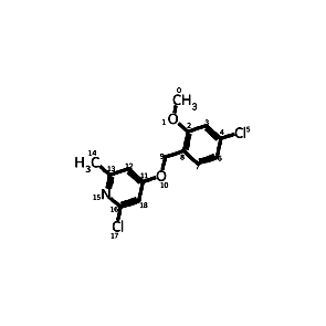 COc1cc(Cl)ccc1COc1cc(C)nc(Cl)c1